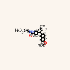 CCCCOc1ccc2cc(C(CCC(F)(F)F)c3ccc(C(=O)NCCC(=O)O)cc3)ccc2c1